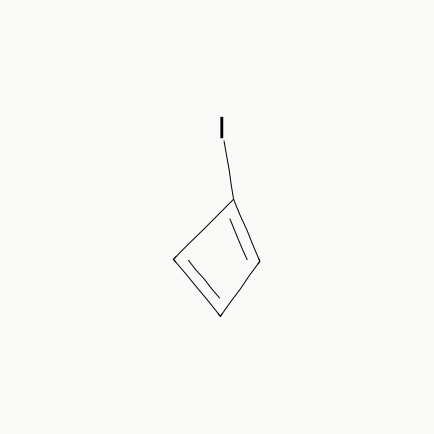 IC1=CC=C1